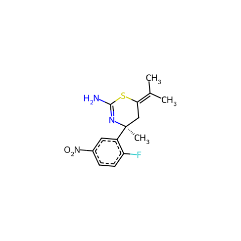 CC(C)=C1C[C@@](C)(c2cc([N+](=O)[O-])ccc2F)N=C(N)S1